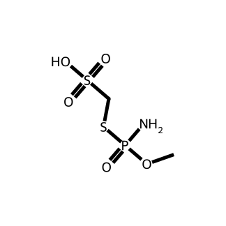 COP(N)(=O)SCS(=O)(=O)O